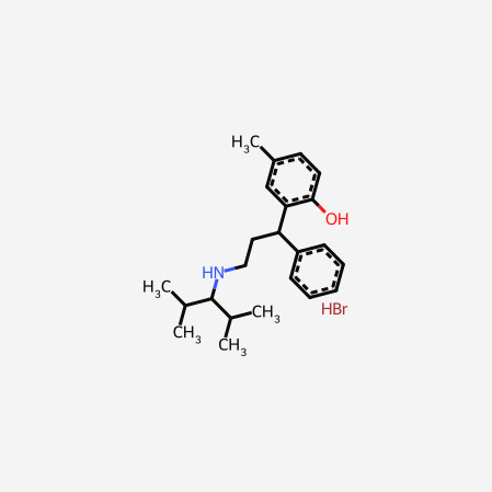 Br.Cc1ccc(O)c(C(CCNC(C(C)C)C(C)C)c2ccccc2)c1